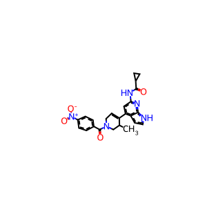 CC1CN(C(=O)c2ccc([N+](=O)[O-])cc2)CC=C1c1cc(NC(=O)C2CC2)nc2[nH]ccc12